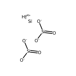 O=[Si]([O-])[O-].O=[Si]([O-])[O-].[Hf+4].[Si]